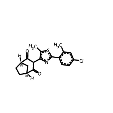 Cc1cc(Cl)ccc1-c1nc(C2C(=O)[C@@H]3CC[C@@H](C3)C2=O)c(C)s1